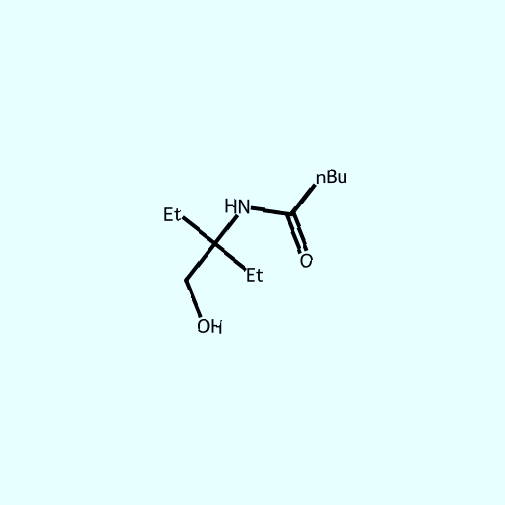 CCCCC(=O)NC(CC)(CC)CO